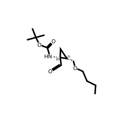 CCCCOC[C@H]1C[C@@]1(C=O)NC(=O)OC(C)(C)C